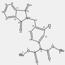 CC(C)(C)OC(=O)N(C(=O)OC(C)(C)C)c1ccc(CN2C(=O)c3ccccc3C2=O)c(Cl)c1